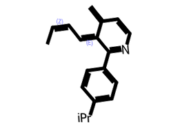 C=c1ccnc(-c2ccc(C(C)C)cc2)/c1=C/C=C\C